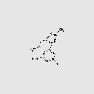 CN1Cc2nn(C)nc2-c2cc(F)cc(N)c21